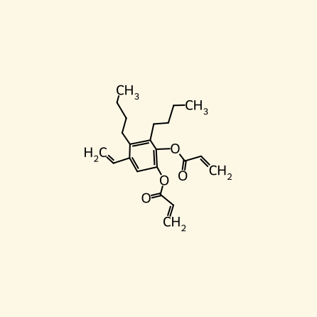 C=CC(=O)Oc1cc(C=C)c(CCCC)c(CCCC)c1OC(=O)C=C